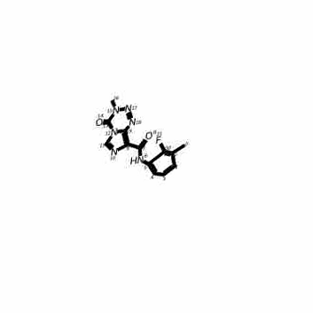 Cc1cccc(NC(=O)c2ncn3c(=O)n(C)nnc23)c1F